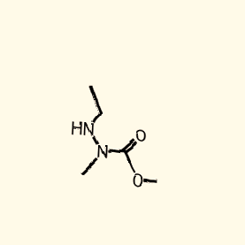 CCNN(C)C(=O)OC